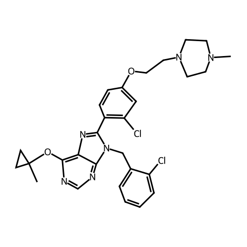 CN1CCN(CCOc2ccc(-c3nc4c(OC5(C)CC5)ncnc4n3Cc3ccccc3Cl)c(Cl)c2)CC1